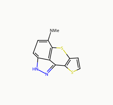 CNc1ccc2[nH]nc3c2c1Sc1ccsc1-3